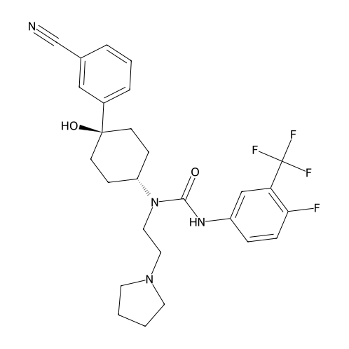 N#Cc1cccc([C@]2(O)CC[C@H](N(CCN3CCCC3)C(=O)Nc3ccc(F)c(C(F)(F)F)c3)CC2)c1